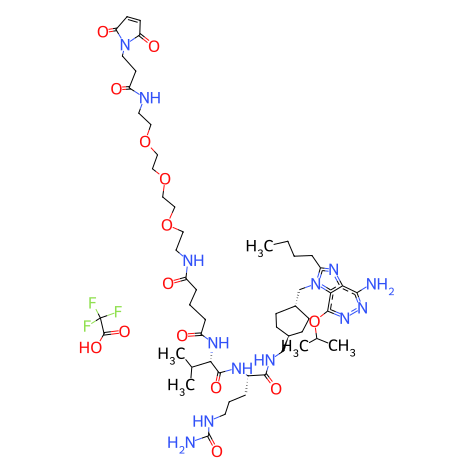 CCCCc1nc2c(N)nnc(OC(C)C)c2n1C[C@H]1CC[C@H](CNC(=O)[C@H](CCCNC(N)=O)NC(=O)[C@@H](NC(=O)CCCC(=O)NCCOCCOCCOCCNC(=O)CCN2C(=O)C=CC2=O)C(C)C)CC1.O=C(O)C(F)(F)F